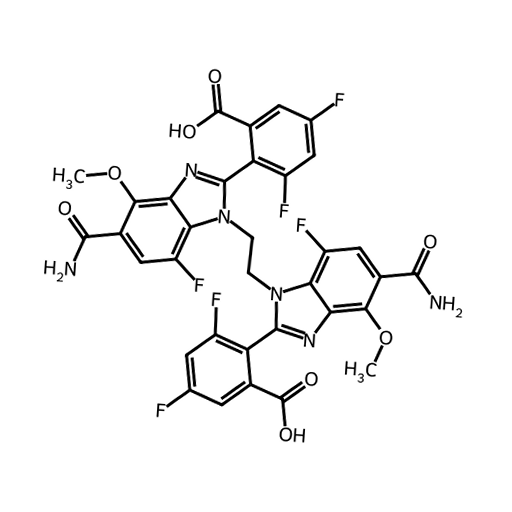 COc1c(C(N)=O)cc(F)c2c1nc(-c1c(F)cc(F)cc1C(=O)O)n2CCn1c(-c2c(F)cc(F)cc2C(=O)O)nc2c(OC)c(C(N)=O)cc(F)c21